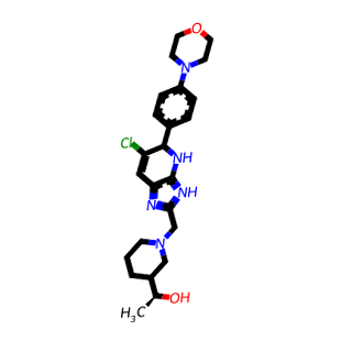 C[C@H](O)C1CCCN(Cc2nc3c([nH]2)NC(c2ccc(N4CCOCC4)cc2)C(Cl)=C3)C1